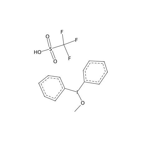 COI(c1ccccc1)c1ccccc1.O=S(=O)(O)C(F)(F)F